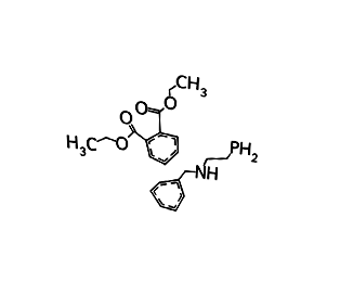 CCOC(=O)c1ccccc1C(=O)OCC.PCCNCc1ccccc1